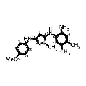 COc1ccc(Nc2cc(Nc3cc(C)c(C)cc3N)n(C)n2)cc1